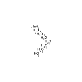 Cl.O.O.O.O.O.O.[InH3]